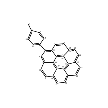 Cc1ccc(-c2cc3ccc4ccc5ccc6ccc7ccc2c2c7c6c5c4c32)cc1